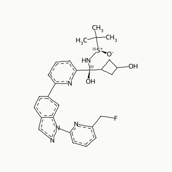 CC(C)(C)[S@@+]([O-])N[C@@](O)(c1cccc(-c2ccc3cnn(-c4cccc(CF)n4)c3c2)n1)C1CC(O)C1